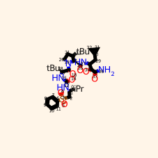 CC(C)C(CS(=O)(=O)c1ccccc1)NC(=O)N[C@H](C(=O)N1CCC(C(C)(C)C)[C@H]1C(=O)NC(CC1CC1)C(=O)C(N)=O)C(C)(C)C